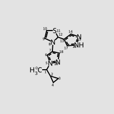 CC(C1CC1)n1cc(N2C=CSC2c2cn[nH]c2)cn1